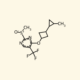 CC1CC1C1CC(Oc2nc([S+](C)[O-])ncc2C(F)(F)F)C1